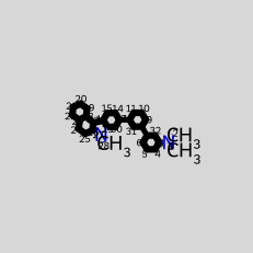 CN(C)c1cccc(-c2cccc(-c3ccc4c5c6ccccc6ccc5n(C)c4c3)c2)c1